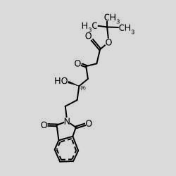 CC(C)(C)OC(=O)CC(=O)C[C@H](O)CCN1C(=O)c2ccccc2C1=O